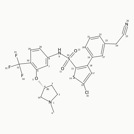 CN1CC[C@@H](Oc2cc(NS(=O)(=O)c3sc(Cl)cc3-c3cccc(CC#N)c3)ccc2C(F)(F)F)C1